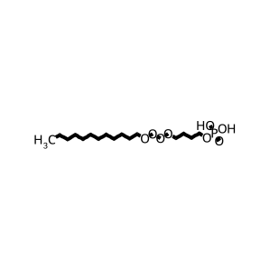 CCCCCCCCCCCCOOOOCCCCOP(=O)(O)O